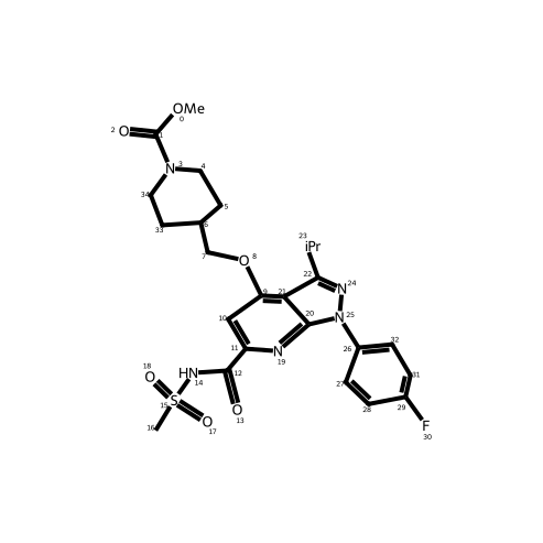 COC(=O)N1CCC(COc2cc(C(=O)NS(C)(=O)=O)nc3c2c(C(C)C)nn3-c2ccc(F)cc2)CC1